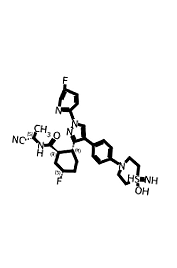 C[C@@H](C#N)NC(=O)[C@@H]1C[C@@H](F)CC[C@H]1c1nn(-c2ccc(F)cn2)cc1-c1ccc(N2CC[SH](=N)(O)CC2)cc1